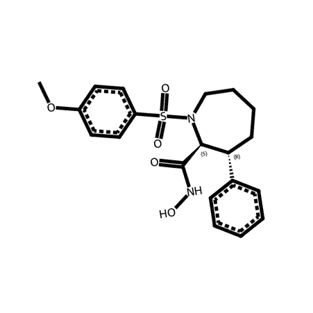 COc1ccc(S(=O)(=O)N2CCCC[C@H](c3ccccc3)[C@H]2C(=O)NO)cc1